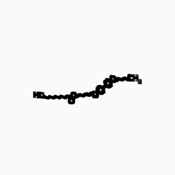 C#CCCCCCCCCC(=O)OCCCCCCOc1ccc(-c2ccc(OCCCCCC)cc2)cc1